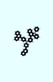 C1=C(c2ccc3ccccc3c2)CCC(N(c2ccc(-c3cc4ccccc4c4ccccc34)cc2)c2cccc(-c3cc4ccccc4c4c3c3ccccc3n4-c3ccccc3)c2)=C1